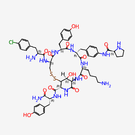 NCCCC[C@@H]1NC(=O)[C@@H](Cc2ccc(NC(=O)[C@@H]3CCCN3)cc2)NC(=O)[C@H](Cc2ccc(O)cc2)NC(=O)[C@H](NC(=O)[C@@H](N)Cc2ccc(Cl)cc2)CSSC2[C@@H](C(=O)N[C@H](Cc3ccc(O)cc3)C(N)=O)NC(=O)[C@@H](NC1=O)[C@@H]2O